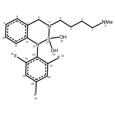 CNCCCCN1Cc2ccccc2N(c2c(F)cc(F)cc2F)S1(O)O